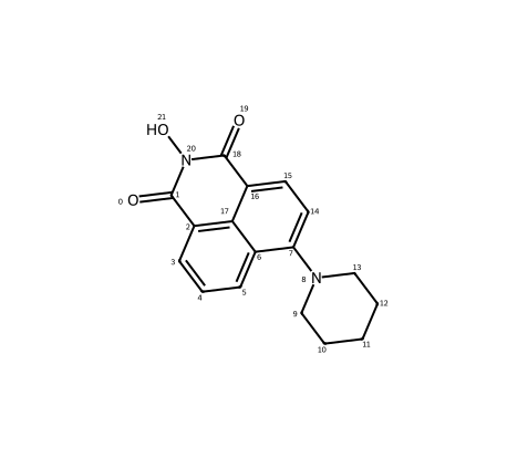 O=C1c2cccc3c(N4CCCCC4)ccc(c23)C(=O)N1O